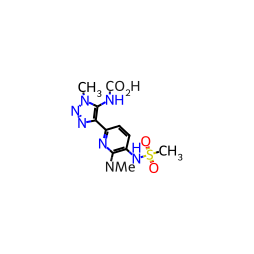 CNc1nc(-c2nnn(C)c2NC(=O)O)ccc1NS(C)(=O)=O